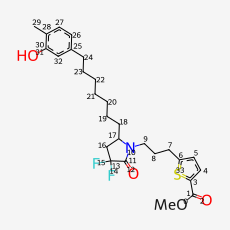 COC(=O)c1ccc(CCCN2C(=O)C(F)(F)CC2CCCCCCCc2ccc(C)c(O)c2)s1